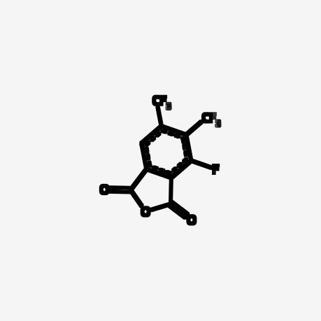 O=C1OC(=O)c2c1cc(C(F)(F)F)c(C(F)(F)F)c2F